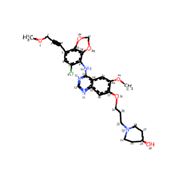 COCC#Cc1cc(Cl)c(Nc2ncnc3cc(OCCCN4CCC(O)CC4)c(OC)cc23)c2c1OCO2